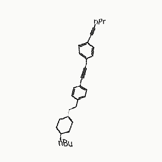 CCCC#Cc1ccc(C#Cc2ccc(CC[C@H]3CC[C@H](CCCC)CC3)cc2)cc1